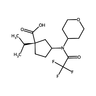 CC(C)[C@]1(C(=O)O)CCC(N(C(=O)C(F)(F)F)C2CCOCC2)C1